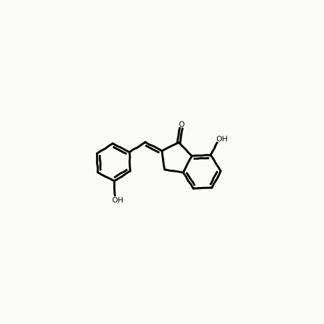 O=C1/C(=C/c2cccc(O)c2)Cc2cccc(O)c21